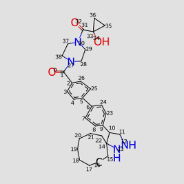 O=C(c1ccc(-c2ccc(C3CNNC34CCCCCCCC4)cc2)cc1)N1CCN(C(=O)C2(O)CC2)CC1